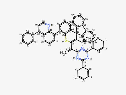 C=CC1=C(C(=C)c2nc(C3=CCCC=C3)nc(C3C=CC=CC3)n2)Sc2c(-c3cccc4c(-c5ccccc5)ccnc34)cccc2C12c1ccccc1-c1ccccc12